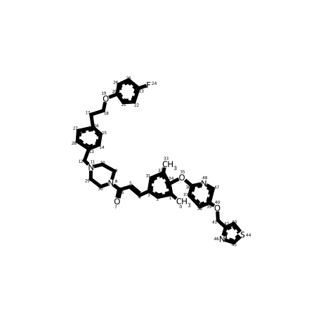 Cc1cc(C=CC(=O)N2CCN(Cc3ccc(CCOc4ccc(F)cc4)cc3)CC2)cc(C)c1Oc1ccc(OCc2cscn2)cn1